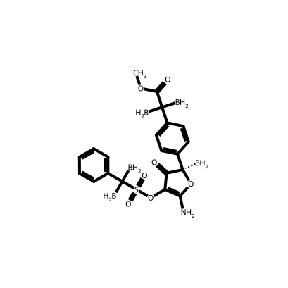 BC(B)(C(=O)OC)c1ccc([C@@]2(B)OC(N)=C(OS(=O)(=O)C(B)(B)c3ccccc3)C2=O)cc1